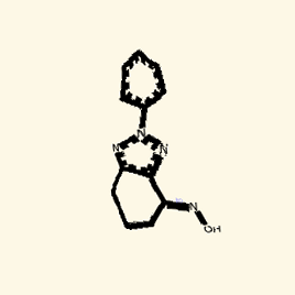 O/N=C1\CCCc2nn(-c3ccccc3)nc21